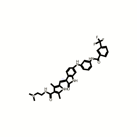 Cc1[nH]c(/C=C2\C(=O)Nc3cc(Nc4cccc(NC(=O)c5cccc(C(F)(F)F)c5)c4)ccc32)c(C)c1C(=O)NCCN(C)C